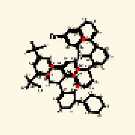 CC(C)(C)c1cc(-c2cc(NC3C(C4CC=CCC4)=CCCC3C3=CCCCC3)cc(N(c3cccc(Br)c3)C3C(c4ccccc4)=CC=CC3C3=CCCC=C3)c2)cc(C(C)(C)C)c1